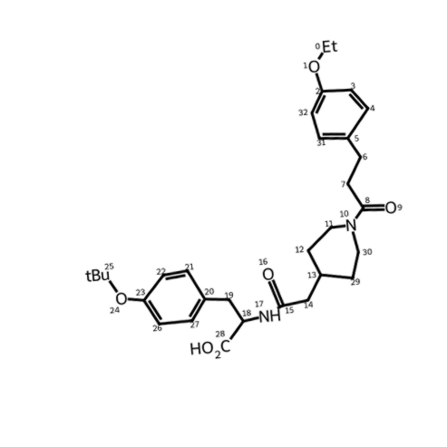 CCOc1ccc(CCC(=O)N2CCC(CC(=O)NC(Cc3ccc(OC(C)(C)C)cc3)C(=O)O)CC2)cc1